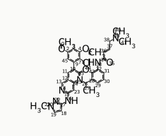 COc1cc(OC)c(Cl)c(-c2cc3cnc(Nc4ccn(C)n4)cc3n(C(C)c3cccc(NC(=O)/C=C/CN(C)C)c3)c2=O)c1